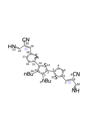 CCCCc1c(-c2ccc(/C=C(\C#N)C=N)s2)sc(-c2ccc(/C=C(/C#N)C=N)s2)c1CCCC